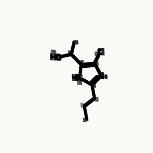 CCCc1nc(Cl)c(C(C)O)[nH]1